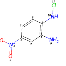 Nc1cc([N+](=O)[O-])ccc1NCl